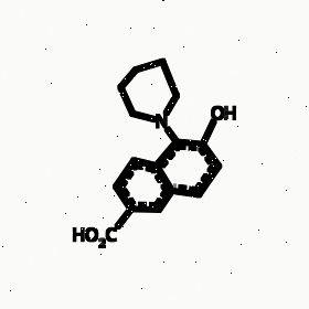 O=C(O)c1ccc2c(N3CCCCC3)c(O)ccc2c1